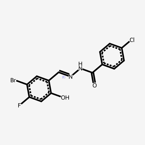 O=C(N/N=C/c1cc(Br)c(F)cc1O)c1ccc(Cl)cc1